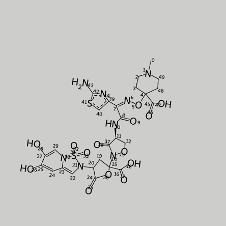 CN1CCC(O/N=C(\C(=O)N[C@H]2CON(C3(C(=O)O)CC(N4C=C5C=C(O)C(O)=CN5S4(=O)=O)C(=O)O3)C2=O)c2csc(N)n2)(C(=O)O)CC1